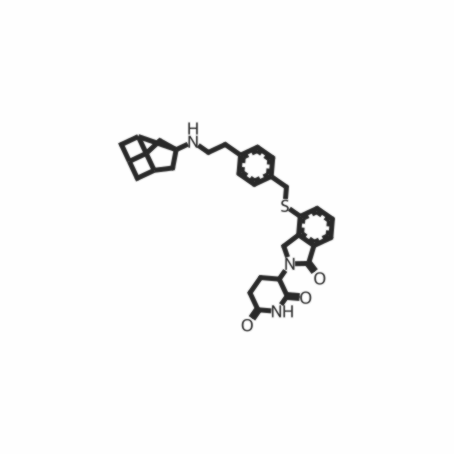 O=C1CCC(N2Cc3c(SCc4ccc(CCNC56CC7CC8CC5C87C6)cc4)cccc3C2=O)C(=O)N1